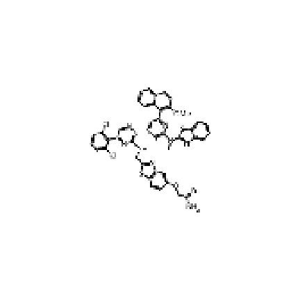 COc1ccc2ccccc2c1-c1cnnc(N(C)c2nc3ccccc3s2)n1.NC(=O)COc1ccc2sc(CNc3nncc(-c4c(Cl)cccc4Cl)n3)nc2c1